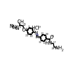 CC(COc1ccc(/N=N/c2ccc(C(=O)NCCN)cc2)cc1)N=[N+]=[N-].Cl